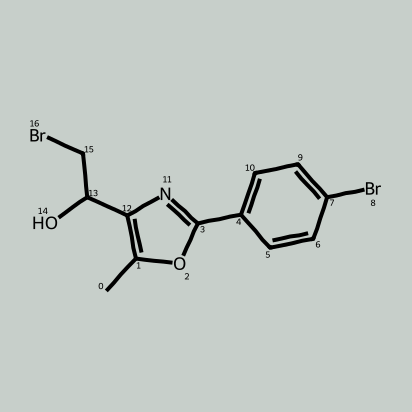 Cc1oc(-c2ccc(Br)cc2)nc1C(O)CBr